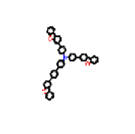 c1ccc2c(c1)oc1cc(-c3ccc(N(c4ccc(-c5ccc(-c6ccc7oc8ccccc8c7c6)cc5)cc4)c4ccc(-c5ccc6c(c5)oc5ccccc56)cc4)cc3)ccc12